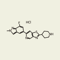 Cl.Cn1cc2cc(-c3cc4sc(C5CCNCC5)nc4cn3)cc(F)c2n1